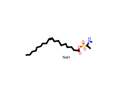 CCCCCCCC/C=C\CCCCCCCC(=O)OS(=O)(=O)C(C)NC.[NaH]